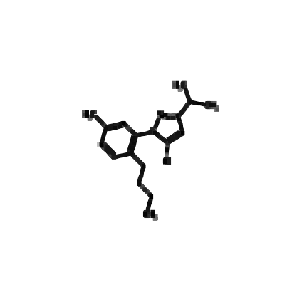 CCCCc1c[c]c(C)cc1-n1nc(C(C)C)cc1Cl